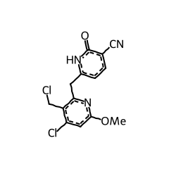 COc1cc(Cl)c(CCl)c(Cc2ccc(C#N)c(=O)[nH]2)n1